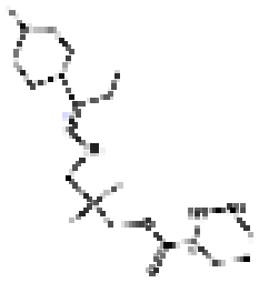 CC/C(=N\NCC(C)(C)COC(=O)[C@@H]1CCCNN1)C1CCN(C)CC1